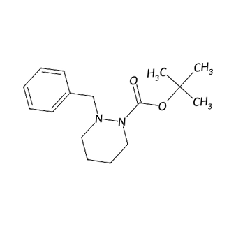 CC(C)(C)OC(=O)N1CCCCN1Cc1ccccc1